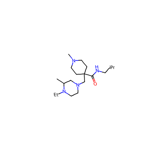 CCN1CCN(CC2(C(=O)NCC(C)C)CCN(C)CC2)CC1C